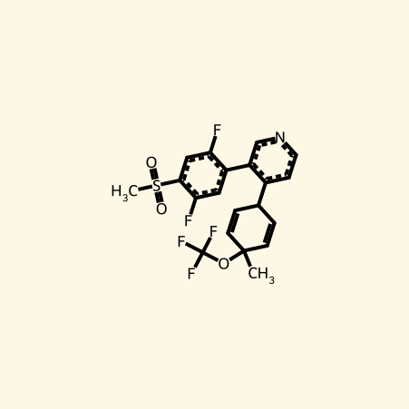 CC1(OC(F)(F)F)C=CC(c2ccncc2-c2cc(F)c(S(C)(=O)=O)cc2F)C=C1